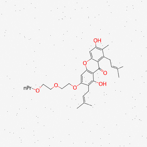 CCCOCCOCCOc1cc2oc3cc(O)c(C)c(CC=C(C)C)c3c(=O)c2c(O)c1CC=C(C)C